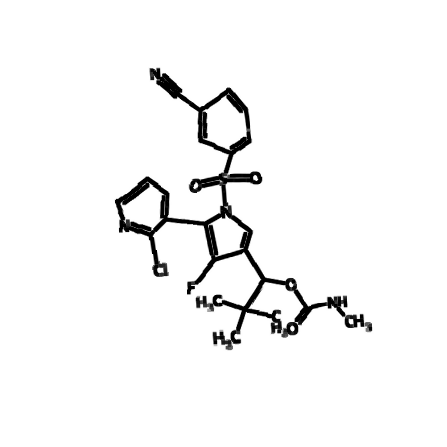 CNC(=O)OC(c1cn(S(=O)(=O)c2cccc(C#N)c2)c(-c2cccnc2Cl)c1F)C(C)(C)C